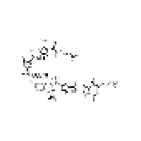 CC(C)c1sc(NC(=O)c2cc(NC(=O)Cc3ccc(C(N)=O)c(CC(=O)Nc4cc(C(=O)Nc5nc(C(=O)NCCCN(C)C)c(C(C)C)s5)n(C)c4)c3C(N)=O)cn2C)nc1C(=O)NCCCN(C)C